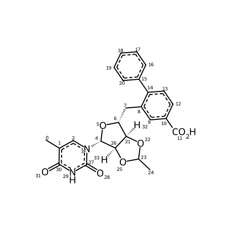 Cc1cn([C@@H]2O[C@H](Cc3cc(C(=O)O)ccc3-c3ccccc3)[C@H]3OC(C)O[C@H]32)c(=O)[nH]c1=O